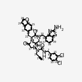 C#CCN(C(=O)NCc1ccc(Cl)c(Cl)c1)N1CC(=O)N2[C@@H](Cc3ccc4occc4c3)C(=O)N(Cc3cccc4sc(N)nc34)C[C@@H]21